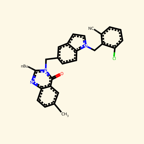 CCCCc1nc2ccc(C)cc2c(=O)n1Cc1ccc2c(ccn2Cc2c(Cl)cccc2C#N)c1